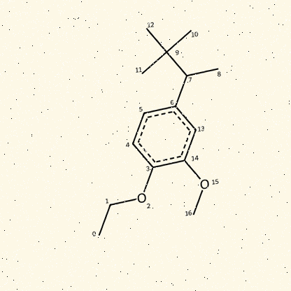 CCOc1ccc(C(C)C(C)(C)C)cc1OC